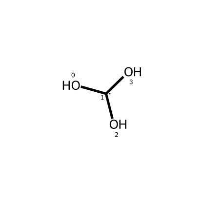 O[C](O)O